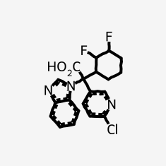 O=C(O)C(c1ccc(Cl)nc1)(C1CCCC(F)C1F)n1cnc2ccccc21